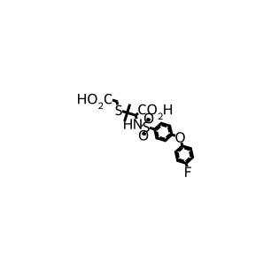 CC(C)(SCC(=O)O)C(NS(=O)(=O)c1ccc(Oc2ccc(F)cc2)cc1)C(=O)O